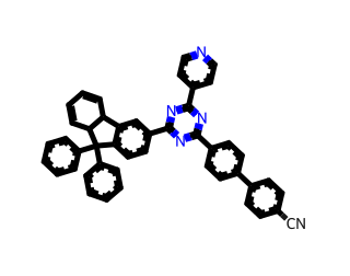 N#Cc1ccc(-c2ccc(-c3nc(-c4ccncc4)nc(-c4ccc5c(c4)C4C=CC=CC4C5(c4ccccc4)c4ccccc4)n3)cc2)cc1